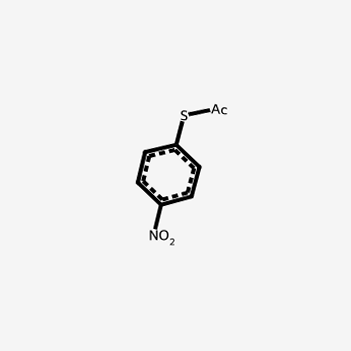 CC(=O)Sc1ccc([N+](=O)[O-])cc1